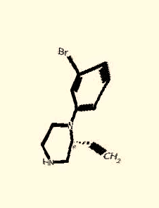 C=C[C@@H]1CNCCN1c1cccc(Br)c1